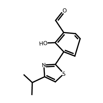 CC(C)c1csc(-c2cccc(C=O)c2O)n1